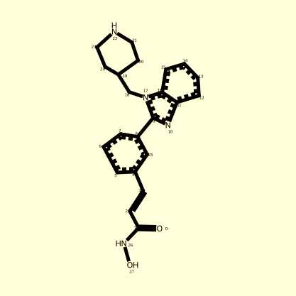 O=C(C=Cc1cccc(-c2nc3ccccc3n2CC2CCNCC2)c1)NO